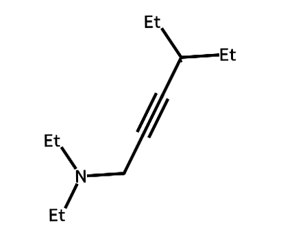 CC[C](C#CCN(CC)CC)CC